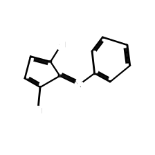 CC1=CC=C(C)C1=Nc1ccccc1